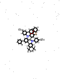 Cc1ccccc1-c1cc2c3c(c1)N(c1ccc(C(C)(C)C)cc1-c1ccccc1)c1cc4c(cc1B3N(c1ccc(C(C)(C)C)cc1)c1cc3c(cc1-2)C(C)(C)CCC3(C)C)sc1ccccc14